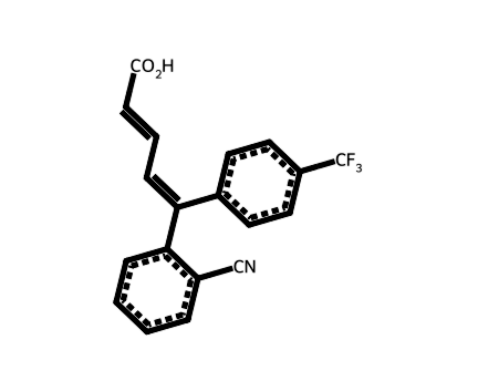 N#Cc1ccccc1C(=CC=CC(=O)O)c1ccc(C(F)(F)F)cc1